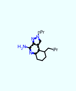 CCCn1cc2c3c(nc(N)c2n1)CCCC3CC(C)C